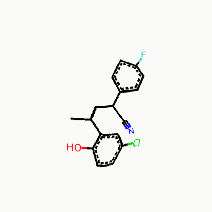 CC(CC(C#N)c1ccc(F)cc1)c1cc(Cl)ccc1O